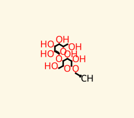 C#CCO[C@@H]1OC(CO)[C@@H](OC2=C(O)C(O)[C@@H](O)C(CO)O2)C(O)C1O